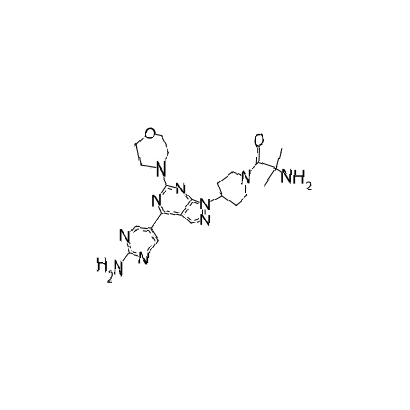 CC(C)(N)C(=O)N1CCC(n2ncc3c(-c4cnc(N)nc4)nc(N4CCOCC4)nc32)CC1